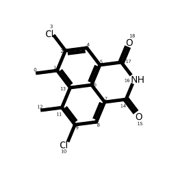 Cc1c(Cl)cc2c3c(cc(Cl)c(C)c13)C(=O)NC2=O